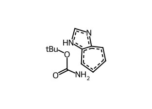 CC(C)(C)OC(N)=O.c1ccc2[nH]cnc2c1